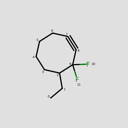 CCC1CCCCC#CC1(F)F